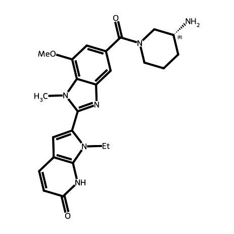 CCn1c(-c2nc3cc(C(=O)N4CCC[C@@H](N)C4)cc(OC)c3n2C)cc2ccc(=O)[nH]c21